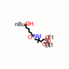 CCCCC(O)CCCCC(=O)NCC(C)(C)CC[Si](OCC)(OCC)OCC